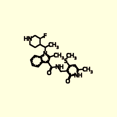 CSc1cc(C)[nH]c(=O)c1CNC(=O)c1c(C)n(C(C)C2CCNC[C@H]2F)c2ccccc12